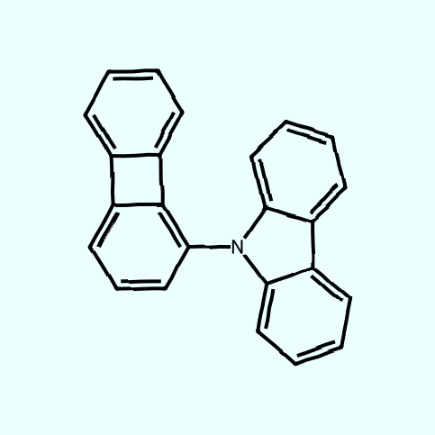 c1ccc2c(c1)-c1cccc(-n3c4ccccc4c4ccccc43)c1-2